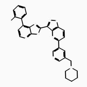 Fc1ccccc1-c1ccnc2[nH]c(-c3n[nH]c4ccc(-c5cncc(CN6CCCCC6)c5)nc34)nc12